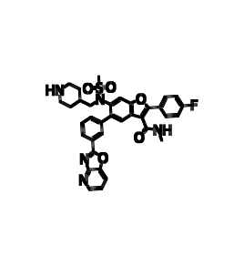 CNC(=O)c1c(-c2ccc(F)cc2)oc2cc(N(CC3CCNCC3)S(C)(=O)=O)c(-c3cccc(-c4nc5ncccc5o4)c3)cc12